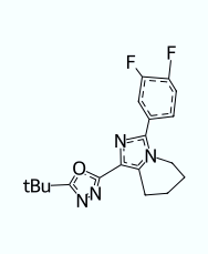 CC(C)(C)c1nnc(-c2nc(-c3ccc(F)c(F)c3)n3c2CCCC3)o1